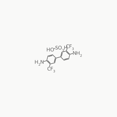 Nc1ccc(-c2ccc(N)c(C(F)(F)F)c2)cc1C(F)(F)F.O=S(=O)(O)O